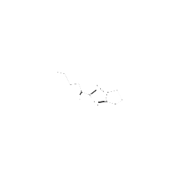 CCCCC(=O)c1nc2n(n1)CCC2